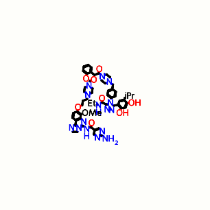 CCNC(=O)c1nnc(-c2cc(C(C)C)c(O)cc2O)n1-c1ccc(CN2CCN(C(=O)Cc3ccccc3OC(=O)N3CCN(CCCOc4ccc5c(c4OC)N=C(NC(=O)c4cnc(N)nc4)N4CCN=C54)CC3)CC2)cc1